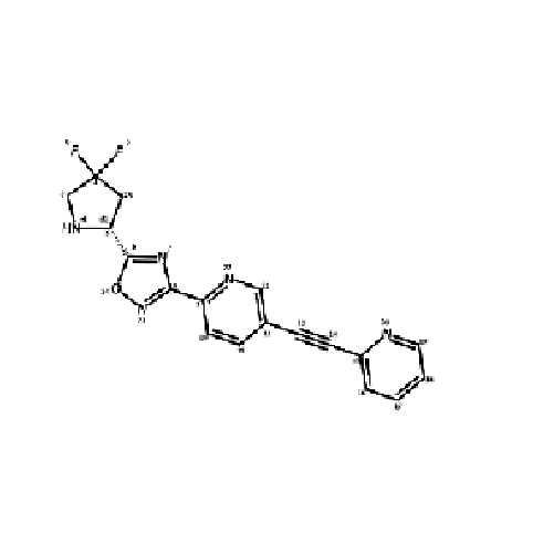 FC1(F)CN[C@@H](c2nc(-c3ccc(C#Cc4ccccn4)cn3)no2)C1